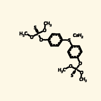 COP(=S)(OC)Oc1ccc(Sc2ccc(OP(=S)(OC)OC)cc2)cc1.[CaH2]